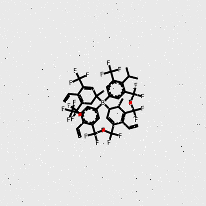 C=CC1=C(C(F)(F)F)CC(C)([B-](c2cc(C(F)(F)F)c(C=C)c(C(F)(F)F)c2)(c2cc(C(F)(F)F)c(C(C)C)c(C(F)(F)F)c2)C2C=C(C(F)(F)F)C(C=C)=C(C(F)(F)F)C2C)C=C1C(F)(F)F